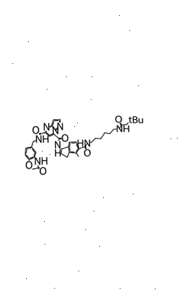 Cc1c(C(=O)NCCCCCCNC(=O)CC(C)(C)C)ccc2c1CC[C@@H]2NC(=O)c1cc(C(=O)NCc2ccc3c(c2)NC(=O)CO3)nc2ccnn12